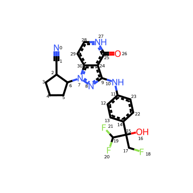 N#CC1CCCC1n1nc(Nc2ccc(C(O)(CF)C(F)F)cc2)c2c(=O)[nH]ccc21